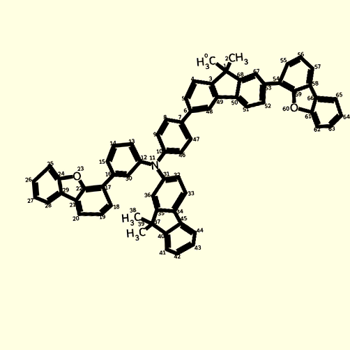 CC1(C)c2ccc(-c3ccc(N(c4cccc(-c5cccc6c5oc5ccccc56)c4)c4ccc5c(c4)C(C)(C)c4ccccc4-5)cc3)cc2-c2ccc(-c3cccc4c3oc3ccccc34)cc21